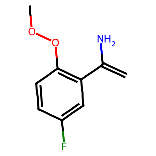 C=C(N)c1cc(F)ccc1OOC